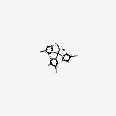 [Cl][Mn]([Cl])[C](n1cc(I)cn1)(n1cc(I)cn1)n1cc(I)cn1